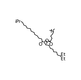 CCC(CC)CCCCCC(COC(=O)CCCCCCCCCCCC(C)C)OC(=O)CCCN(C)C